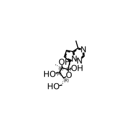 Cc1ncnn2c([C@]3(O)O[C@H](CO)[C@@H](O)[C@@]3(C)O)ccc12